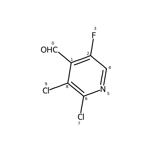 O=Cc1c(F)cnc(Cl)c1Cl